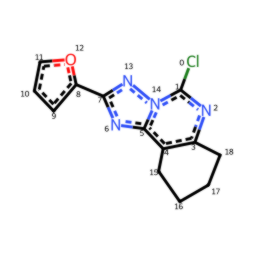 Clc1nc2c(c3nc(-c4ccco4)nn13)CCCC2